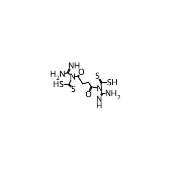 N=C(N)N(C(=O)CCC(=O)N(C(=N)N)C(=S)S)C(=S)S